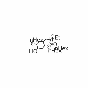 CCCCCCOC1CC(CC(OCC)[SiH](OCCCCCC)OCCCCCC)CCC1O